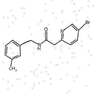 Cc1cccc(CNC(=O)Cc2ccc(Br)cn2)c1